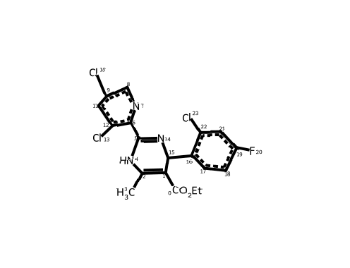 CCOC(=O)C1=C(C)NC(c2ncc(Cl)cc2Cl)=NC1c1ccc(F)cc1Cl